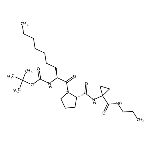 CCCCCCC[C@H](NC(=O)OC(C)(C)C)C(=O)N1CCC[C@H]1C(=O)NC1(C(=O)NCCC)CC1